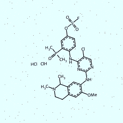 COc1cc2c(cc1Nc1ncc(Cl)c(Nc3ccc(OS(=O)(=O)F)cc3P(C)(C)=O)n1)C(C)N(C)CC2.Cl.Cl